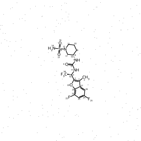 Cc1c([C@H](NC(=O)N[C@H]2CCCN(S(N)(=O)=O)C2)C(F)(F)F)oc2c(F)cc(F)cc12